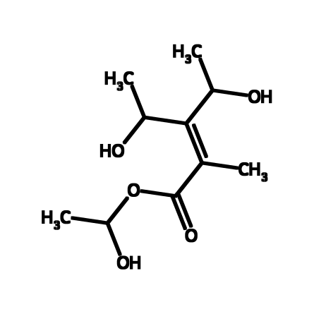 CC(C(=O)OC(C)O)=C(C(C)O)C(C)O